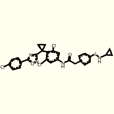 O=C(Cc1ccc(SNC2CC2)cc1)Nc1cc(Cl)c(C2(c3noc(-c4ccc(Cl)cc4)n3)CC2)c(Cl)c1